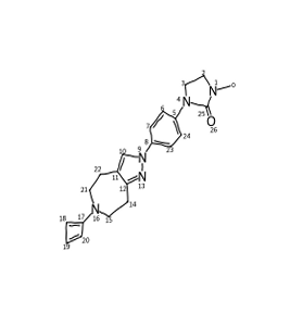 CN1CCN(c2ccc(-n3cc4c(n3)CCN(C3=CC=C3)CC4)cc2)C1=O